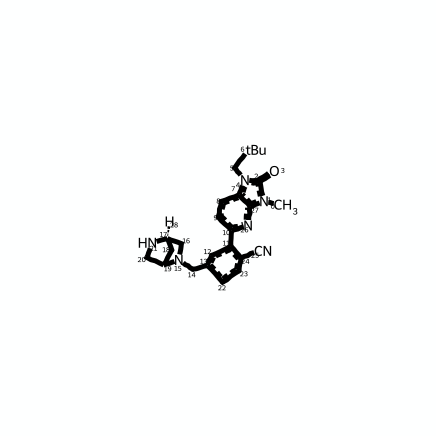 Cn1c(=O)n(CC(C)(C)C)c2ccc(-c3cc(CN4C[C@H]5CC4CN5)ccc3C#N)nc21